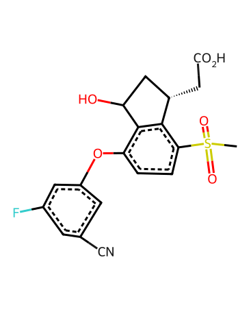 CS(=O)(=O)c1ccc(Oc2cc(F)cc(C#N)c2)c2c1[C@@H](CC(=O)O)CC2O